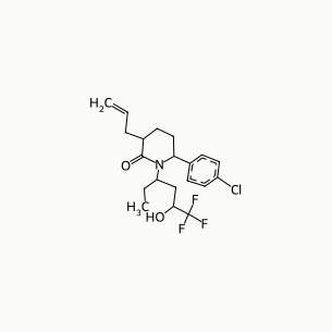 C=CCC1CCC(c2ccc(Cl)cc2)N(C(CC)CC(O)C(F)(F)F)C1=O